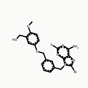 COc1ccc(OCc2cccc(Cn3c(Br)nc4c(N)nc(F)nc43)c2)cc1CO